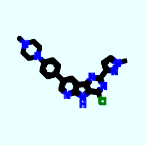 CN1CCN(c2ccc(-c3cnc4[nH]c5c(Cl)nc(-c6ccn(C)n6)nc5c4c3)cc2)CC1